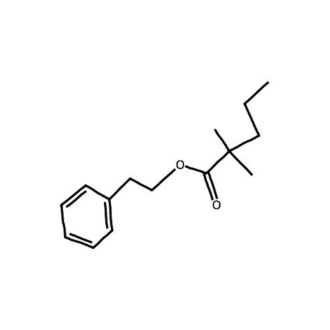 CCCC(C)(C)C(=O)OCCc1ccccc1